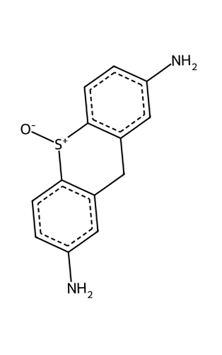 Nc1ccc2c(c1)Cc1cc(N)ccc1[S+]2[O-]